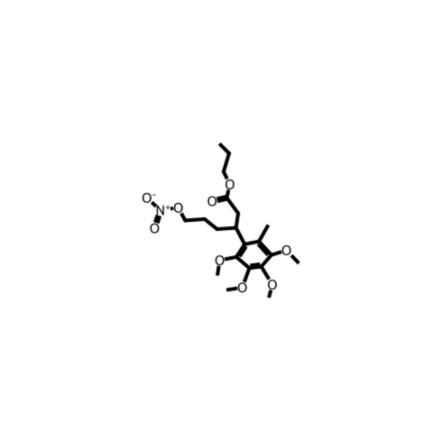 CCCOC(=O)CC(CCCO[N+](=O)[O-])c1c(C)c(OC)c(OC)c(OC)c1OC